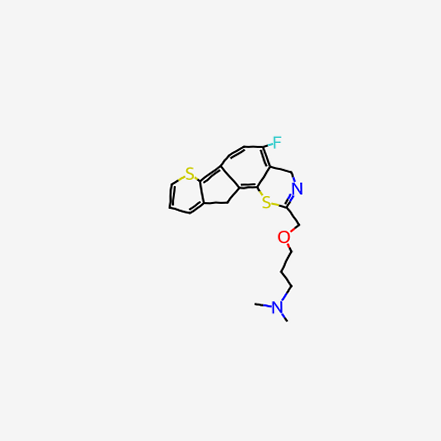 CN(C)CCCOCC1=NCC2=C(F)C=CC3=C4SC=CC=C4CC3=C2S1